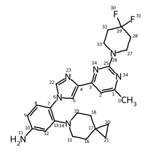 Cc1cc(-c2cn(-c3ccc(N)cc3N3CCC4(CC3)CC4)cn2)nc(N2CCC(F)(F)CC2)n1